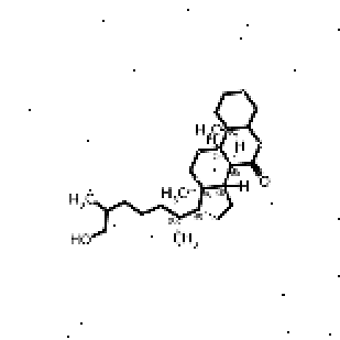 CC(CO)CCC[C@@H](C)[C@H]1CC[C@H]2[C@@H]3C(=O)CC4CCCC[C@]4(C)[C@H]3CC[C@]12C